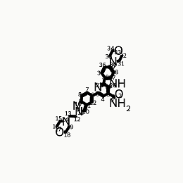 NC(=O)c1cc(-c2ccc3nn(CCN4CCOCC4)cc3c2)nc2c1[nH]c1cc(N3CCOCC3)ccc12